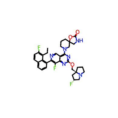 CCc1c(F)ccc2cccc(-c3ncc4c(N5CCCC6(CNC(=O)O6)C5)nc(OC[C@@]56CCCN5C[C@H](F)C6)nc4c3F)c12